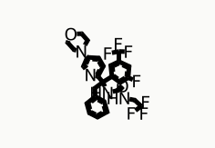 O=C(NCC(F)(F)F)NC(Cc1ccccc1)(c1cc(F)cc(C(F)(F)F)c1)c1ccc(N2CCOCC2)cn1